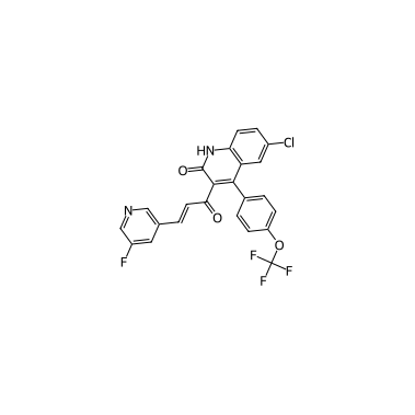 O=C(/C=C/c1cncc(F)c1)c1c(-c2ccc(OC(F)(F)F)cc2)c2cc(Cl)ccc2[nH]c1=O